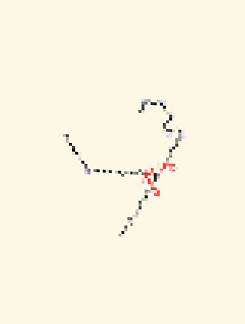 CC/C=C\C/C=C\C/C=C\C/C=C\C/C=C\CCCCCC(=O)OC[C@@H](COC(=O)CCCCCCCCCCC)OC(=O)CCCCCCCCC/C=C\CCCCCCCC